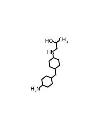 CC(O)CNC1CCC(CC2CCC(N)CC2)CC1